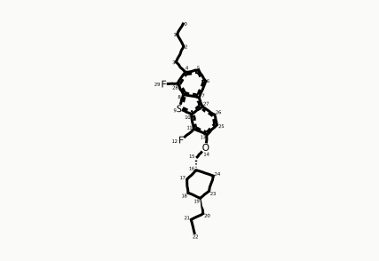 CCCCc1ccc2c(sc3c(F)c(OC[C@H]4CC[C@H](CCC)CC4)ccc32)c1F